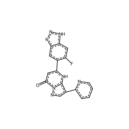 O=c1cc(-c2cc3nn[nH]c3cc2F)[nH]c2c(-c3ccccn3)cnn12